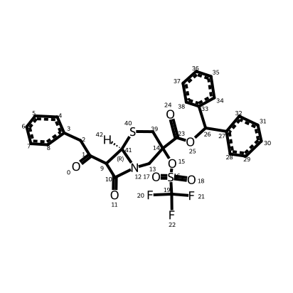 O=C(Cc1ccccc1)C1C(=O)N2CC(OS(=O)(=O)C(F)(F)F)(C(=O)OC(c3ccccc3)c3ccccc3)CS[C@H]12